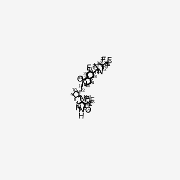 O=c1[nH]ncc(N[C@H]2CCC[C@H]2CCn2ccc3cc(-c4ncc(C(F)(F)F)cn4)c(F)cc3c2=O)c1C(F)(F)F